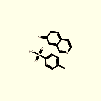 Cc1ccc(S(=O)(=O)O)cc1.O=C1C=c2cnccc2=CC1